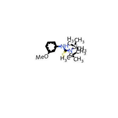 COc1cccc(NC(=S)N([Si](C)(C)C)[Si](C)(C)C)c1